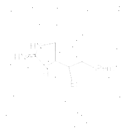 CCCCCCC(CC)C1CNC(=N)N1